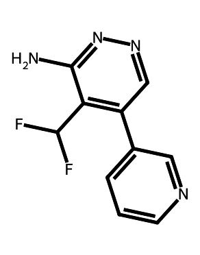 Nc1nncc(-c2cccnc2)c1C(F)F